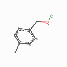 Cc1ccc(COCl)cc1